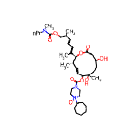 CCCN(C)C(=O)OC[C@@H](C)/C=C/C=C(\C)[C@H]1OC(=O)C[C@@H](O)CC[C@](C)(O)C(OC(=O)N2CC[N+]([O-])(C3CCCCCC3)CC2)/C=C/[C@@H]1C